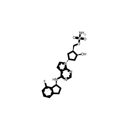 NS(=O)(=O)OC[C@@H]1C[C@@H](n2ccc3c(N[C@H]4CCc5cccc(F)c54)ncnc32)C[C@@H]1O